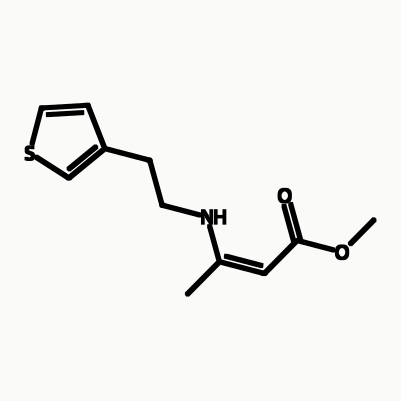 COC(=O)/C=C(/C)NCCc1ccsc1